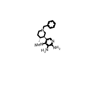 CNc1c([C@@H]2CN(Cc3ccccc3)CC[C@H]2C)cnc(N)c1N